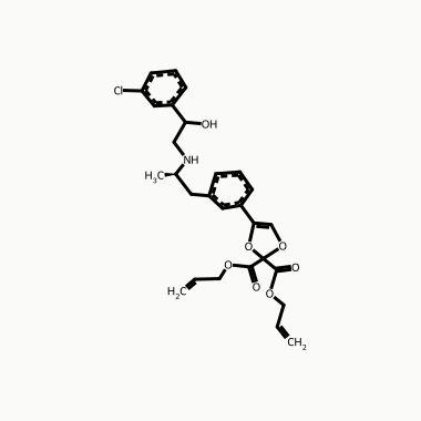 C=CCOC(=O)C1(C(=O)OCC=C)OC=C(c2cccc(C[C@@H](C)NCC(O)c3cccc(Cl)c3)c2)O1